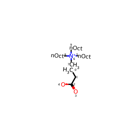 CCC(=O)[O-].CCCCCCCC[N+](C)(CCCCCCCC)CCCCCCCC